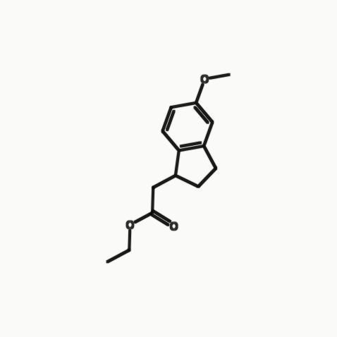 CCOC(=O)CC1CCc2cc(OC)ccc21